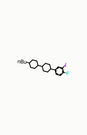 CCCCC1CCC(C2CCC(c3ccc(F)c(I)c3)CC2)CC1